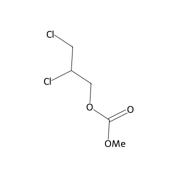 COC(=O)OCC(Cl)CCl